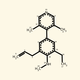 C=CCc1cc(-c2c(C)cncc2C)cc(CC)c1NC